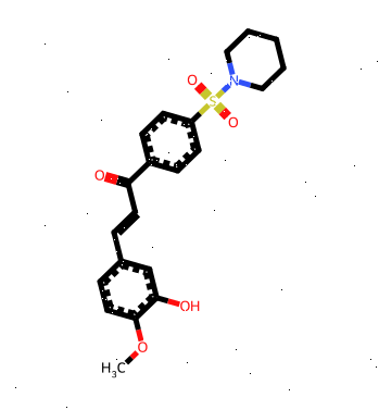 COc1ccc(C=CC(=O)c2ccc(S(=O)(=O)N3CCCCC3)cc2)cc1O